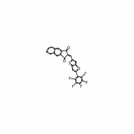 O=C1C(=Cc2cc3sc(-c4c(F)c(F)c(F)c(F)c4F)cc3s2)C(=O)c2cc3ccccc3cc21